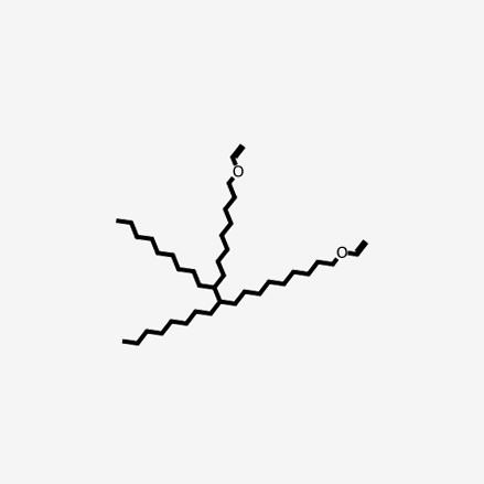 C=COCCCCCCCCCC(CCCCCCCC)C(CCCCCCCCC)CCCCCCCCOC=C